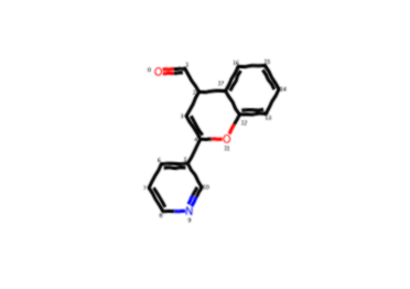 O=CC1C=C(c2cccnc2)Oc2ccccc21